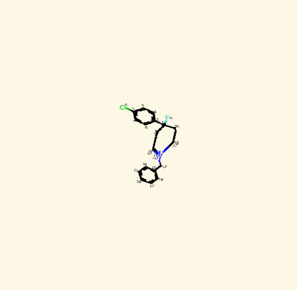 FC1(c2ccc(Cl)cc2)CCN(Cc2ccccc2)CC1